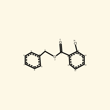 O=C(OCc1ccccc1)c1ccccc1Cl